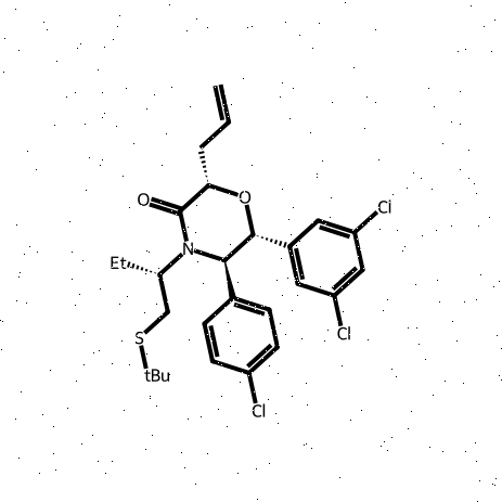 C=CC[C@@H]1O[C@H](c2cc(Cl)cc(Cl)c2)[C@@H](c2ccc(Cl)cc2)N([C@@H](CC)CSC(C)(C)C)C1=O